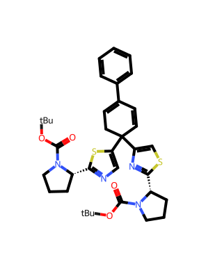 CC(C)(C)OC(=O)N1CCC[C@H]1c1nc(C2(c3cnc([C@@H]4CCCN4C(=O)OC(C)(C)C)s3)C=CC(c3ccccc3)=CC2)cs1